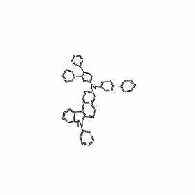 c1ccc(-c2ccc(N(c3ccc(-c4ccccc4)c(-c4ccccc4)c3)c3ccc4c(ccc5c4c4ccccc4n5-c4ccccc4)c3)cc2)cc1